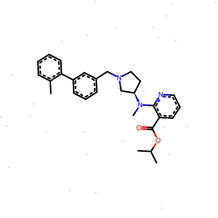 Cc1ccccc1-c1cccc(CN2CC[C@@H](N(C)c3ncccc3C(=O)OC(C)C)C2)c1